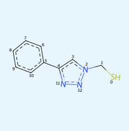 SCn1cc(-c2ccccc2)nn1